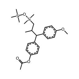 COc1ccc(C(c2ccc(OC(C)=O)cc2)C(C)C[Si](C)(C)O[Si](C)(C)C)cc1